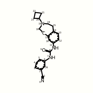 N#Cc1cccc(NC(=O)Nc2ccc3c(c2)CCN(C2CCC2)CC3)c1